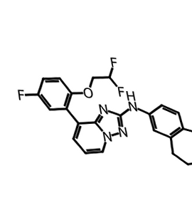 Fc1ccc(OCC(F)F)c(-c2cccn3nc(Nc4ccc5c(c4)CCNCC5)nc23)c1